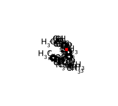 CCC(Oc1cc(C)ccc1C)C(=O)O[C@H]1C[C@H](O[Si](C)(C)C(C)(C)C)C=C2C=C[C@H](C)[C@H](CC[C@@H]3C[C@@H](O[Si](C)(C)C(C)(C)C)CC(=O)O3)[C@H]21